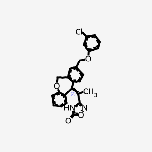 C/C(=C1\c2ccc(COc3cccc(Cl)c3)cc2COc2ccccc21)c1noc(=O)[nH]1